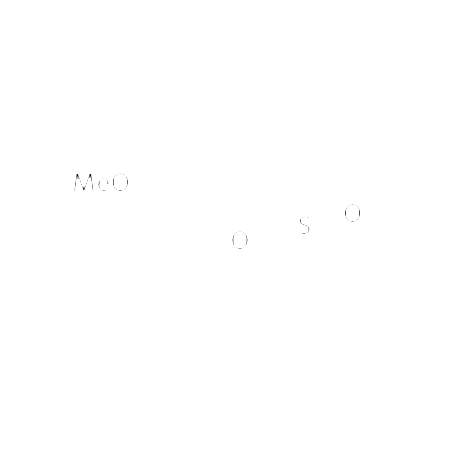 COCc1ccccc1S(=O)(=O)c1ccccc1